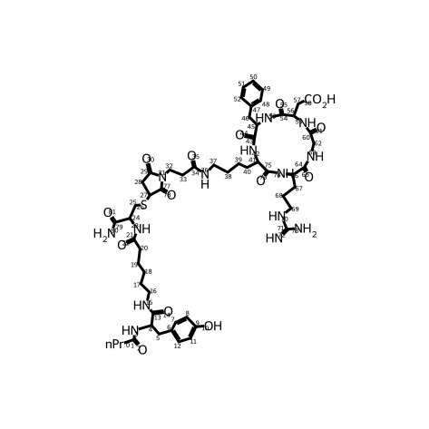 CCCC(=O)NC(Cc1ccc(O)cc1)C(=O)NCCCCCC(=O)NC(CSC1CC(=O)N(CCC(=O)NCCCCC2NC(=O)C(Cc3ccccc3)NC(=O)C(CC(=O)O)NC(=O)CNC(=O)C(CCCNC(=N)N)NC2=O)C1=O)C(N)=O